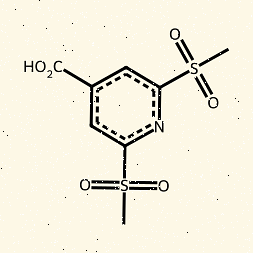 CS(=O)(=O)c1cc(C(=O)O)cc(S(C)(=O)=O)n1